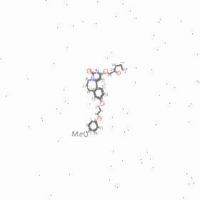 COc1ccc(OCCCOc2ccc3c(c2)CCCn2c-3cc(OCC3CCCO3)nc2=O)cc1